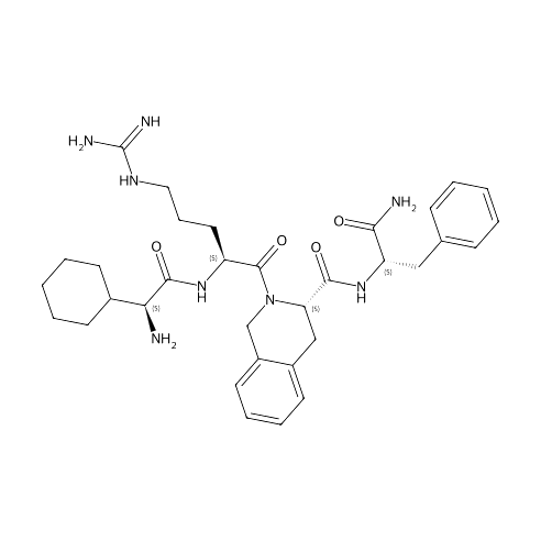 N=C(N)NCCC[C@H](NC(=O)[C@@H](N)C1CCCCC1)C(=O)N1Cc2ccccc2C[C@H]1C(=O)N[C@@H](Cc1ccccc1)C(N)=O